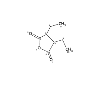 CCC1C(=O)OC(=O)C1CC